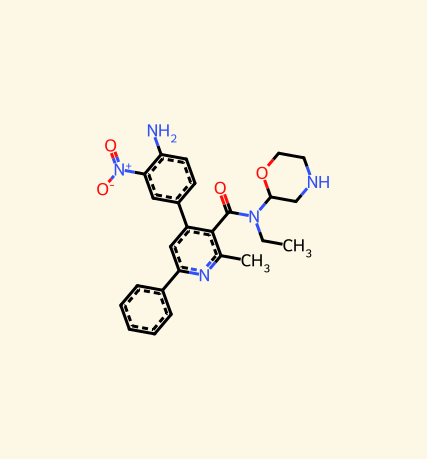 CCN(C(=O)c1c(-c2ccc(N)c([N+](=O)[O-])c2)cc(-c2ccccc2)nc1C)C1CNCCO1